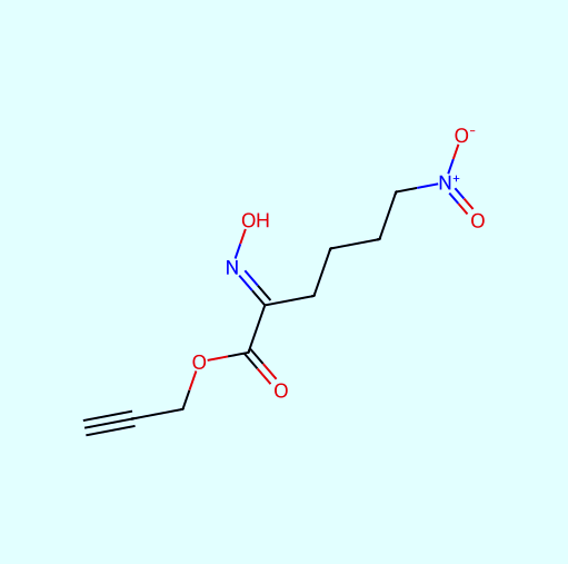 C#CCOC(=O)C(CCCC[N+](=O)[O-])=NO